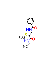 CC(C)(C)SC(CNC(=O)c1ccccc1)C(=O)NCC#N